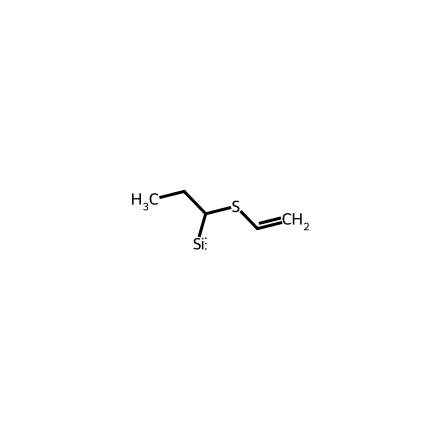 C=CSC([Si])CC